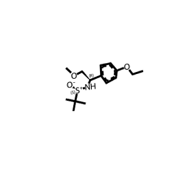 CCOc1ccc([C@H](COC)N[S@+]([O-])C(C)(C)C)cc1